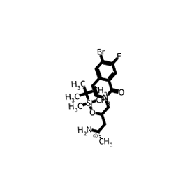 C[C@H](N)CC(Cn1ccc2cc(Br)c(F)cc2c1=O)O[Si](C)(C)C(C)(C)C